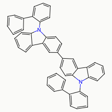 c1ccc(-c2ccccc2-n2c3ccccc3c3cc(-c4ccc5c(c4)c4ccccc4n5-c4ccccc4-c4ccccc4)ccc32)cc1